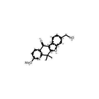 COc1ccc2c(n1)C(C)(C)c1oc3cc(CN=O)ccc3c1C2=O